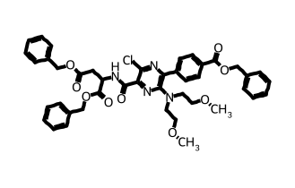 COCCN(CCOC)c1nc(C(=O)NC(CC(=O)OCc2ccccc2)C(=O)OCc2ccccc2)c(Cl)nc1-c1ccc(C(=O)OCc2ccccc2)cc1